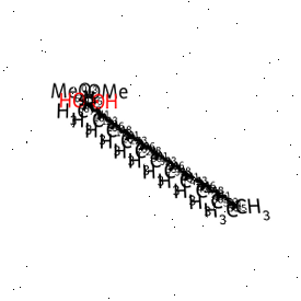 COC1=C(OC)C(O)C(C/C=C(\C)CC/C=C(\C)CC/C=C(\C)CC/C=C(\C)CC/C=C(\C)CC/C=C(\C)CC/C=C(\C)CC/C=C(\C)CC/C=C(\C)CCC=C(C)C)=C(C)C1O